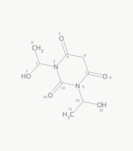 CC(O)N1C(=O)CC(=O)N(C(C)O)C1=O